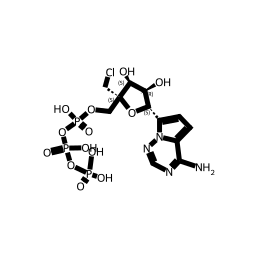 Nc1ncnn2c([C@@H]3O[C@@](CCl)(COP(=O)(O)OP(=O)(O)OP(=O)(O)O)[C@@H](O)[C@H]3O)ccc12